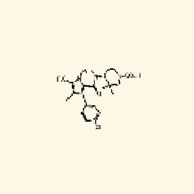 Cc1c(-c2ccc(Cl)cc2)c(C(=O)N(C)C2CCN(C(=O)O)CC2(C)C)n(C(C)C)c1C(F)(F)F